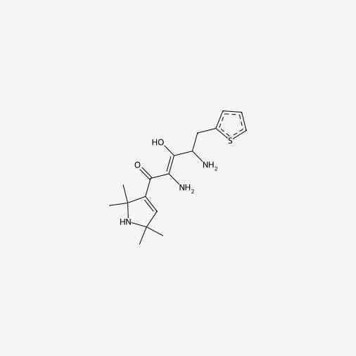 CC1(C)C=C(C(=O)C(N)=C(O)C(N)Cc2cccs2)C(C)(C)N1